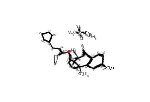 CN1CC[C@@]2(C)c3cc(O)ccc3C[C@@H]1C2(C)CCC(=O)CCC1CCCC1.CS(=O)(=O)O